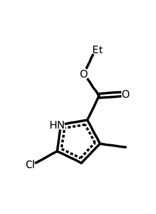 CCOC(=O)c1[nH]c(Cl)cc1C